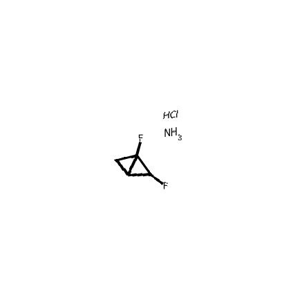 Cl.FC1C2CC12F.N